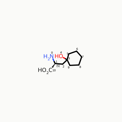 N[C@@H](CC1(O)CCCCC1)C(=O)O